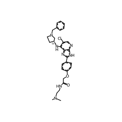 CN(C)CCNC(=O)COc1ccc(-c2nc3c(N[C@H]4CCN(Cc5ccccc5)C4)c(Cl)cnc3[nH]2)cc1